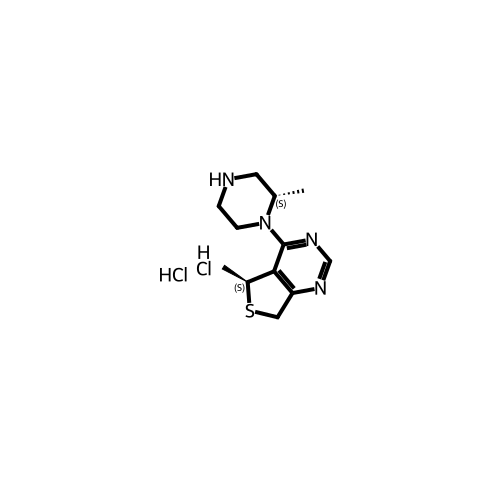 C[C@@H]1SCc2ncnc(N3CCNC[C@@H]3C)c21.Cl.Cl